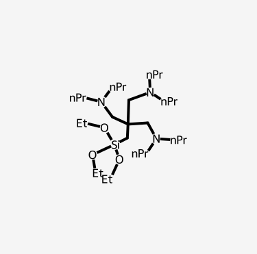 CCCN(CCC)CC(CN(CCC)CCC)(CN(CCC)CCC)C[Si](OCC)(OCC)OCC